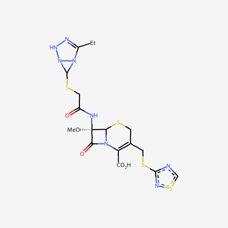 CCC1=NNN2C(SCC(=O)N[C@]3(OC)C(=O)N4C(C(=O)O)=C(CSc5ncsn5)CSC43)N12